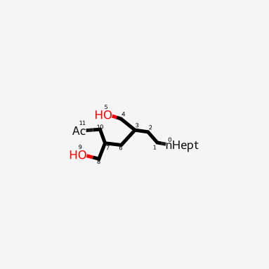 CCCCCCCCCC(CO)CC(CO)CC(C)=O